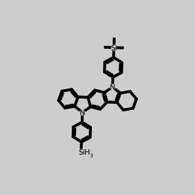 C[Si](C)(C)c1ccc(-n2c3c(c4cc5c(cc42)c2ccccc2n5-c2ccc([SiH3])cc2)CCCC3)cc1